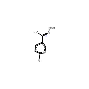 CC(=O)N/N=C(\C)c1ccc(O)cc1